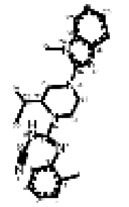 Cc1ccccc1N=C(NC#N)N1CCN(c2nc3ccccc3n2C)CC1C(C)C